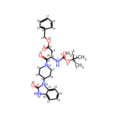 CC(C)(C)OC(=O)N[C@H](CC(=O)OCc1ccccc1)C(=O)N1CCC(n2c(=O)[nH]c3ccccc32)CC1